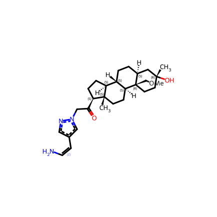 COC[C@]12CC[C@@](C)(O)C[C@@H]1CC[C@H]1[C@@H]3CC[C@H](C(=O)Cn4cc(/C=C\N)cn4)[C@@]3(C)CC[C@@H]12